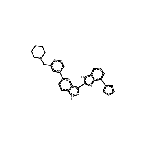 c1cc(-c2ccsc2)c2nc(-c3n[nH]c4ccc(-c5cncc(CN6CCCCC6)c5)nc34)[nH]c2c1